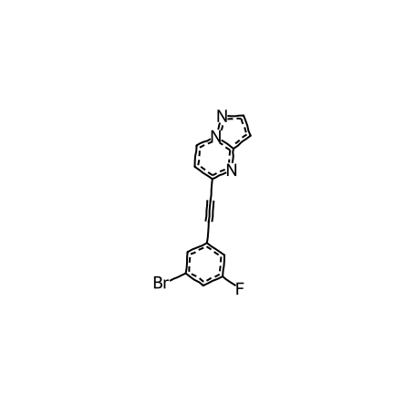 Fc1cc(Br)cc(C#Cc2ccn3nccc3n2)c1